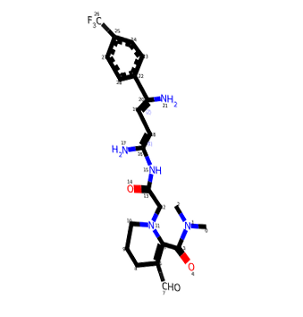 CN(C)C(=O)C1=C(C=O)CCCN1CC(=O)N/C(N)=C/C=C(\N)c1ccc(C(F)(F)F)cc1